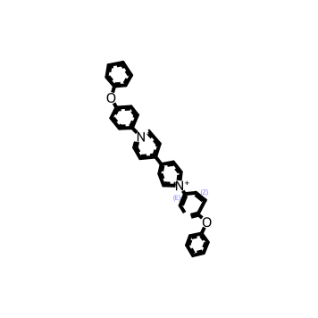 C=C(/C=C\C(=C/C)[n+]1ccc(-c2cc[n+](-c3ccc(Oc4ccccc4)cc3)cc2)cc1)Oc1ccccc1